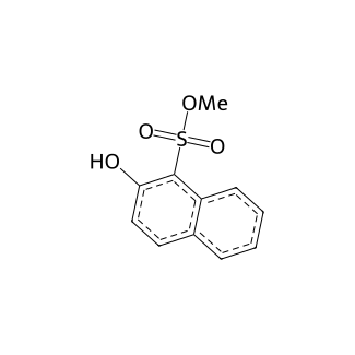 COS(=O)(=O)c1c(O)ccc2ccccc12